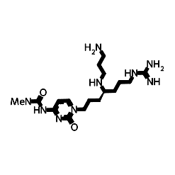 CNC(=O)Nc1ccn(CCC[C@H](CCCNC(=N)N)NCCCN)c(=O)n1